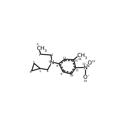 CCCN(CC1CC1)c1ccc([N+](=O)[O-])c(C)c1